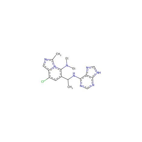 CCN(CC)c1c(C(C)Nc2ncnc3[nH]cnc23)cc(Cl)c2cnc(C)n12